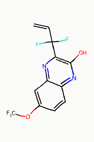 C=CC(F)(F)c1nc2cc(OC(F)(F)F)ccc2nc1O